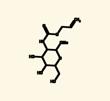 C=CCOC(=O)NC1C(OC)OC(CO)C(O)C1O